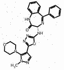 Cn1ncc(-c2nnc(N[C@H]3N=C(c4ccccc4)c4ccccc4NC3=O)o2)c1N1CCOCC1